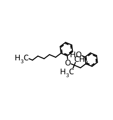 CCCCCCc1ccccc1OC(C)(C)Cc1ccccc1O